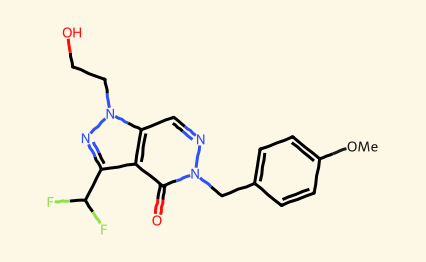 COc1ccc(Cn2ncc3c(c(C(F)F)nn3CCO)c2=O)cc1